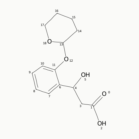 O=C(O)CC(O)c1ccccc1OC1CCCCO1